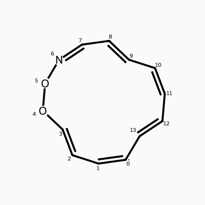 [C]1=C\C=C\OO/N=C\C=C\C=C/C=C/1